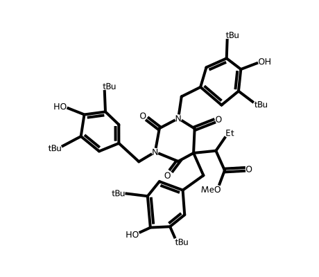 CCC(C(=O)OC)C1(Cc2cc(C(C)(C)C)c(O)c(C(C)(C)C)c2)C(=O)N(Cc2cc(C(C)(C)C)c(O)c(C(C)(C)C)c2)C(=O)N(Cc2cc(C(C)(C)C)c(O)c(C(C)(C)C)c2)C1=O